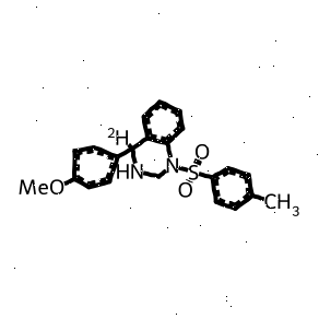 [2H]C1(c2ccc(OC)cc2)NCN(S(=O)(=O)c2ccc(C)cc2)c2ccccc21